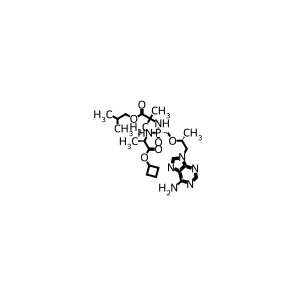 CC(C)COC(=O)C(C)(C)N[P@](=O)(CO[C@H](C)Cn1cnc2c(N)ncnc21)N[C@H](C)C(=O)OC1CCC1